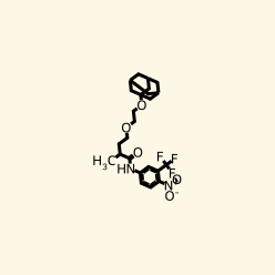 CC(CCOCCOC12CC3CC(CC(C3)C1)C2)C(=O)Nc1ccc([N+](=O)[O-])c(C(F)(F)F)c1